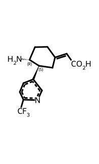 N[C@@H]1CCC(=CC(=O)O)C[C@H]1c1ccc(C(F)(F)F)nc1